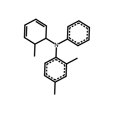 Cc1ccc(N(c2ccccc2)C2C=CC=CC2C)c(C)c1